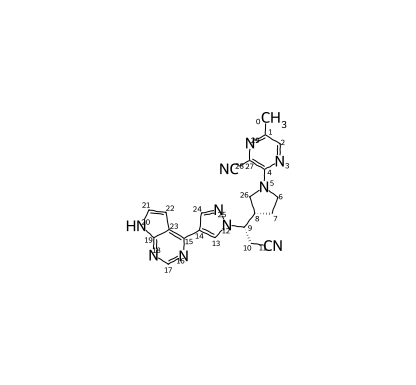 Cc1cnc(N2CC[C@H]([C@H](CC#N)n3cc(-c4ncnc5[nH]ccc45)cn3)C2)c(C#N)n1